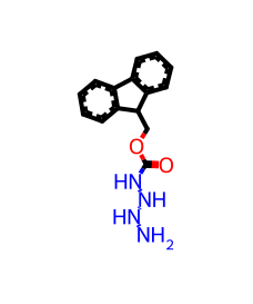 NNNNC(=O)OCC1c2ccccc2-c2ccccc21